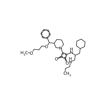 CCCNCC(CC1CCCCC1)Nc1c(N2CCCC([C@@H](OCCCOC)c3ccccc3)C2)c(=O)c1=O